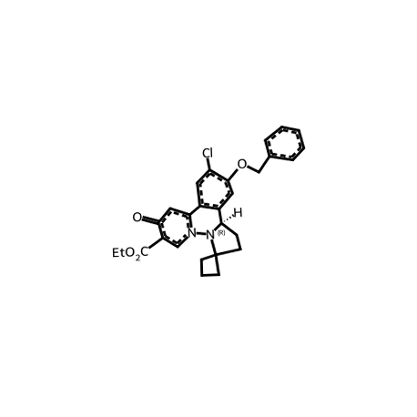 CCOC(=O)c1cn2c(cc1=O)-c1cc(Cl)c(OCc3ccccc3)cc1[C@H]1CCC3(CCC3)N12